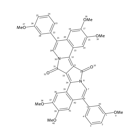 COc1cccc(C2=CN3C(=O)C4=C5c6cc(OC)c(OC)cc6C(c6cccc(OC)c6)=CN5C(=O)C4=C3c3cc(OC)c(OC)cc32)c1